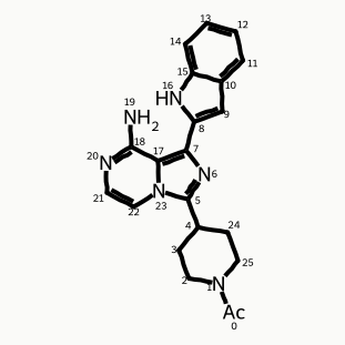 CC(=O)N1CCC(c2nc(-c3cc4ccccc4[nH]3)c3c(N)nccn23)CC1